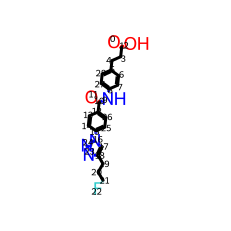 O=C(O)CCc1ccc(NC(=O)c2ccc(-n3cc(CCCF)nn3)cc2)cc1